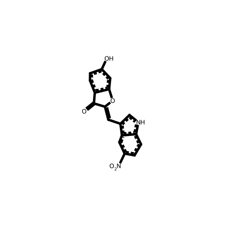 O=C1C(=Cc2c[nH]c3ccc([N+](=O)[O-])cc23)Oc2cc(O)ccc21